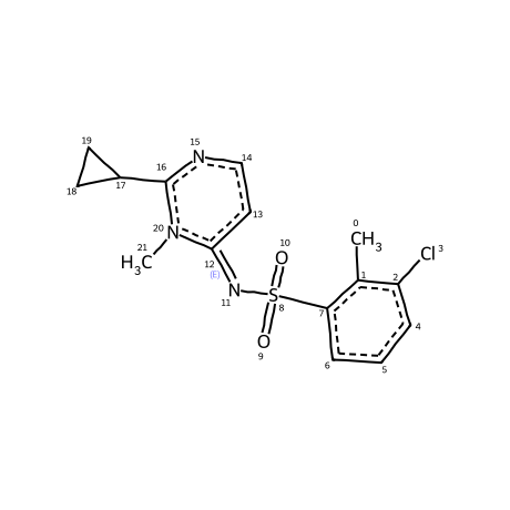 Cc1c(Cl)cccc1S(=O)(=O)/N=c1\ccnc(C2CC2)n1C